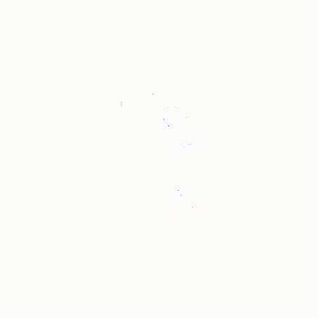 CC(C)(C)OC(=O)N1CCC(CNc2nc3c(s2)CCCc2ccc(F)cc2-3)CC1